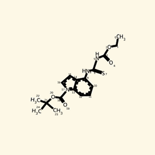 CCOC(=O)NC(=S)Nc1cccc2c1ccn2C(=O)OC(C)(C)C